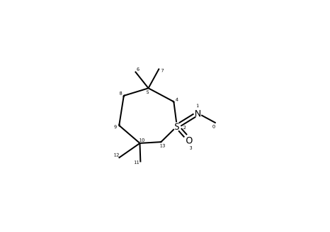 CN=S1(=O)CC(C)(C)CCC(C)(C)C1